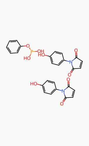 O=C1C=CC(=O)N1c1ccc(O)cc1.O=C1C=CC(=O)N1c1ccc(O)cc1.OP(O)Oc1ccccc1